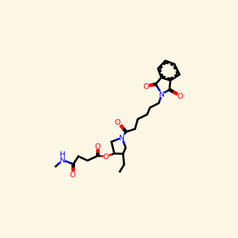 CCC1CN(C(=O)CCCCCN2C(=O)c3ccccc3C2=O)CC1OC(=O)CCC(=O)NC